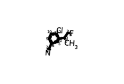 C[C](CF)c1cc(C#N)ccc1Cl